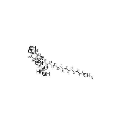 CCCCCCCCCCCCCCCCN(CC(=O)NO)S(=O)(=O)c1ccc(OC)cc1